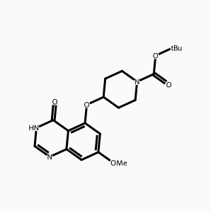 COc1cc(OC2CCN(C(=O)OC(C)(C)C)CC2)c2c(=O)[nH]cnc2c1